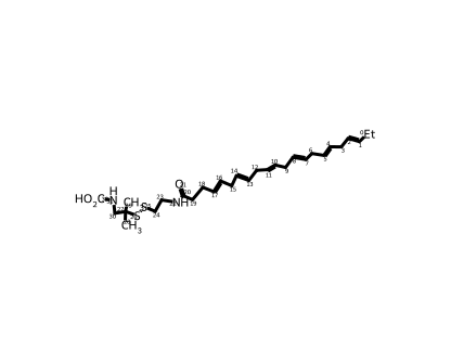 CCC=CCC=CCC=CCC=CCC=CCC=CCCC(=O)NCCSSC(C)(C)CNC(=O)O